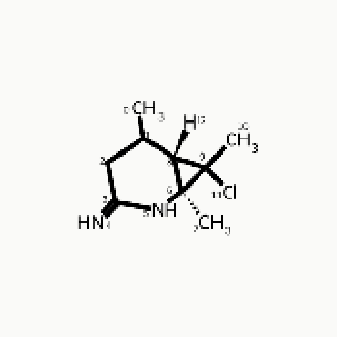 CC1CC(=N)N[C@@]2(C)[C@H]1C2(C)Cl